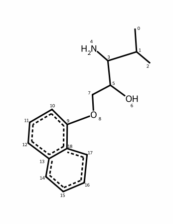 CC(C)C(N)C(O)COc1cccc2ccccc12